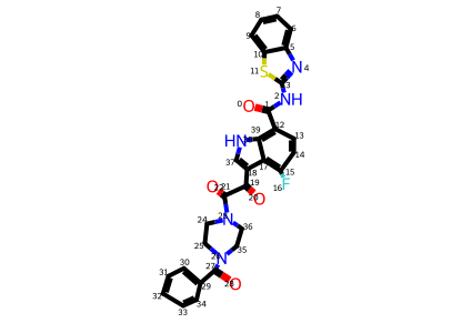 O=C(Nc1nc2ccccc2s1)c1ccc(F)c2c(C(=O)C(=O)N3CCN(C(=O)c4ccccc4)CC3)c[nH]c12